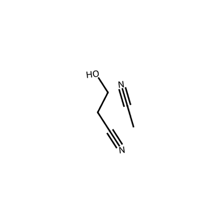 CC#N.N#CCCO